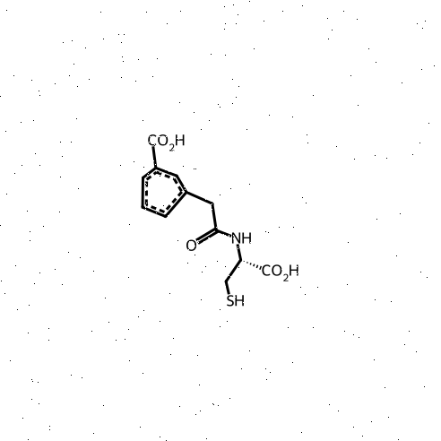 O=C(Cc1cccc(C(=O)O)c1)N[C@@H](CS)C(=O)O